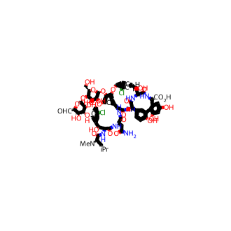 CN[C@H](CC(C)C)C(=O)NC1C(=O)NC(CC(N)=O)C(=O)NC2C(=O)N[C@H]3C(=O)N[C@H](C(=O)NC(C(=O)O)c4cc(O)cc(O)c4-c4cc3ccc4O)[C@H](O)c3ccc(c(Cl)c3)Oc3cc2cc(c3O[C@@H]2O[C@H](CO)C(O[C@@H]3O[C@H](C=O)[C@H](O)[C@H](O)C3O)[C@H](O)C2O)Oc2ccc(cc2Cl)C1O